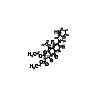 CCOC(=O)C(C(=O)OCC)C(=O)c1cn(C2CC2)c2c(F)c(N3CC4=CCCNC4C3)c(F)cc2c1=O